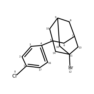 Clc1ccc(C23CC4CC(CC(Br)(C4)C2)C3)cc1